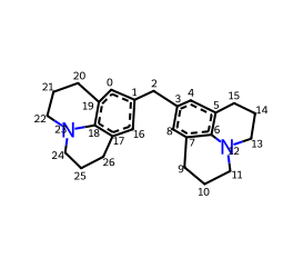 c1c(Cc2cc3c4c(c2)CCCN4CCC3)cc2c3c1CCCN3CCC2